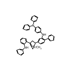 C[C@]12CC1=C(c1ccccc1Nc1ccccc1)CC2c1ccc(-c2ccccc2)c(Nc2ccc(N(c3ccccc3)c3ccccc3)cc2)c1